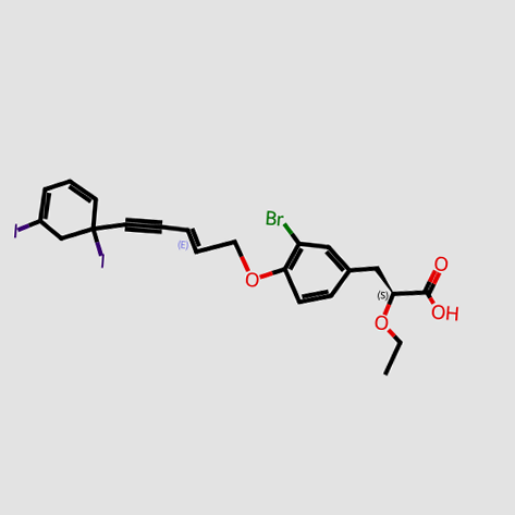 CCO[C@@H](Cc1ccc(OC/C=C/C#CC2(I)C=CC=C(I)C2)c(Br)c1)C(=O)O